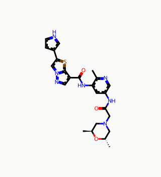 Cc1ncc(NC(=O)CN2C[C@H](C)O[C@@H](C)C2)cc1NC(=O)c1cnn2cc(-c3cc[nH]c3)sc12